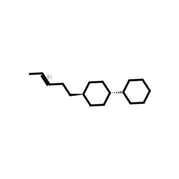 C/C=C/CC[C@H]1CC[C@H](C2CCCCC2)CC1